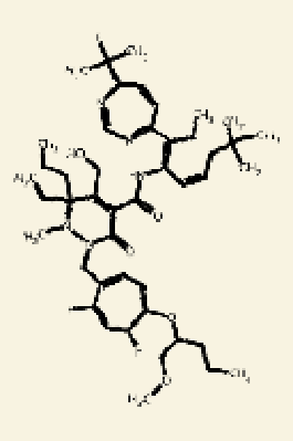 CCCC(COC)OC1CC=C(CN2C(=O)C(C(=O)NC(/C=C\CC(C)(C)C)=C(/CC)C3=NC=NC(C(C)(C)F)C=C3)=C(CO)C(CC)(CCC)N2C)C(F)=CC1F